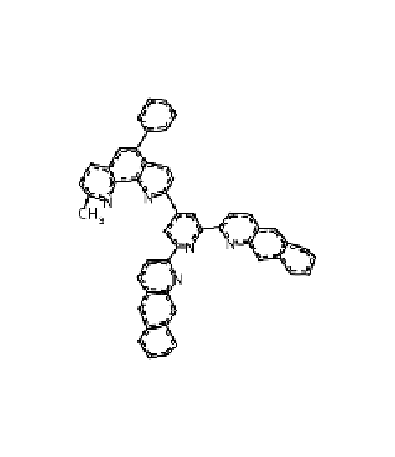 Cc1ccc2cc(-c3ccccc3)c3ccc(-c4cc(-c5ccc6cc7ccccc7cc6n5)nc(-c5ccc6cc7ccccc7cc6n5)c4)nc3c2n1